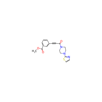 COC(=O)c1cccc(C#CC(=O)N2CCN(c3nccs3)CC2)c1